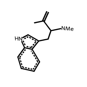 C=C(C)C(Cc1c[nH]c2ccccc12)NC